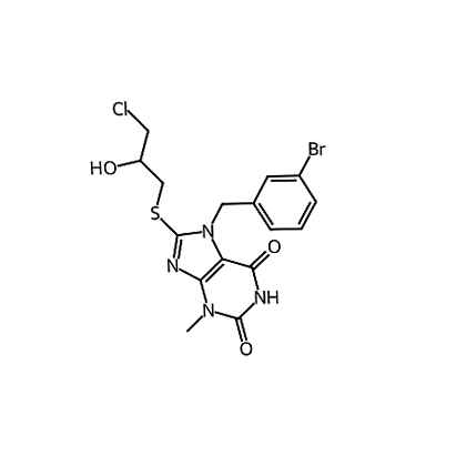 Cn1c(=O)[nH]c(=O)c2c1nc(SCC(O)CCl)n2Cc1cccc(Br)c1